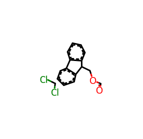 ClCCl.O=COCC1c2ccccc2-c2ccccc21